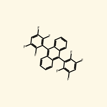 Fc1cc(F)c(F)c(-c2c3ccccc3c(-c3c(F)c(F)cc(F)c3F)c3ccccc23)c1F